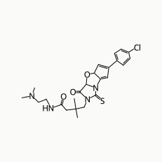 CN(C)CCNC(=O)CC(C)(C)CN1C(=O)C2OC3C=C(c4ccc(Cl)cc4)C=C3N2C1=S